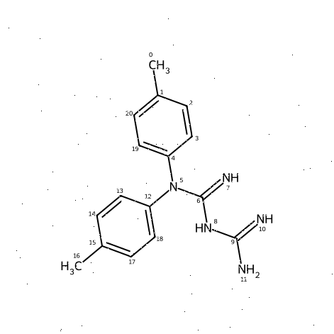 Cc1ccc(N(C(=N)NC(=N)N)c2ccc(C)cc2)cc1